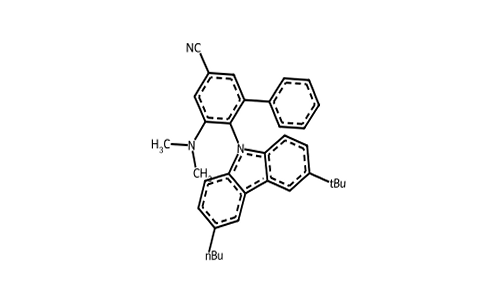 CCCCc1ccc2c(c1)c1cc(C(C)(C)C)ccc1n2-c1c(-c2ccccc2)cc(C#N)cc1N(C)C